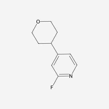 Fc1cc(C2CCOCC2)ccn1